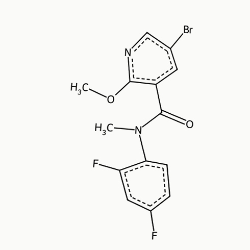 COc1ncc(Br)cc1C(=O)N(C)c1ccc(F)cc1F